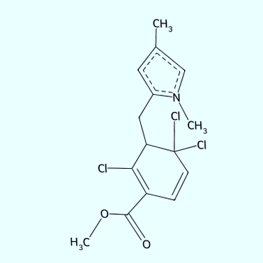 COC(=O)C1=C(Cl)C(Cc2cc(C)cn2C)C(Cl)(Cl)C=C1